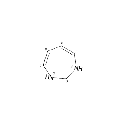 C1=CNCNC=C1